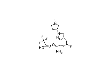 CN1CCC(n2cc3cc(F)cc(C(N)=O)c3n2)C1.O=C(O)C(F)(F)F